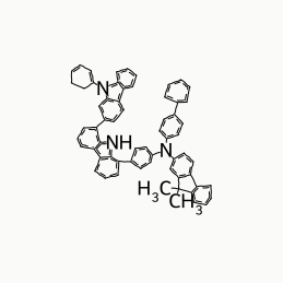 CC1(C)c2ccccc2-c2ccc(N(c3ccc(-c4ccccc4)cc3)c3ccc(-c4cccc5c4[nH]c4c(-c6ccc7c8ccccc8n(C8=CC=CCC8)c7c6)cccc45)cc3)cc21